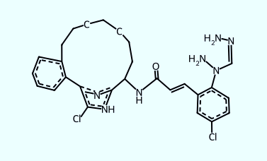 N/N=C\N(N)c1ccc(Cl)cc1/C=C/C(=O)NC1CCCCCCCc2ccccc2-c2nc1[nH]c2Cl